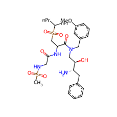 CCCC(CCC)S(=O)(=O)CC(NC(=O)CNS(C)(=O)=O)C(=O)N(Cc1cccc(OC)c1)C[C@@H](O)[C@@H](N)Cc1ccccc1